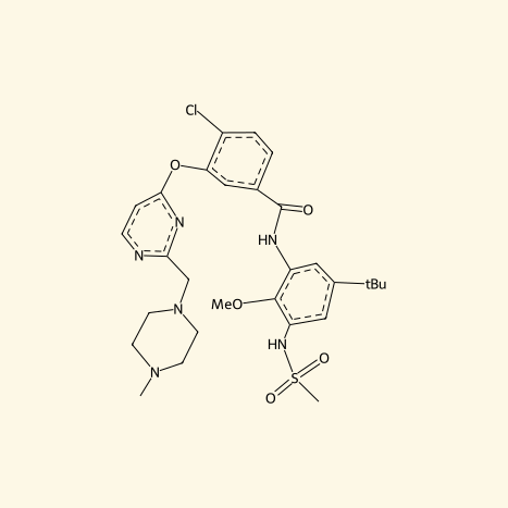 COc1c(NC(=O)c2ccc(Cl)c(Oc3ccnc(CN4CCN(C)CC4)n3)c2)cc(C(C)(C)C)cc1NS(C)(=O)=O